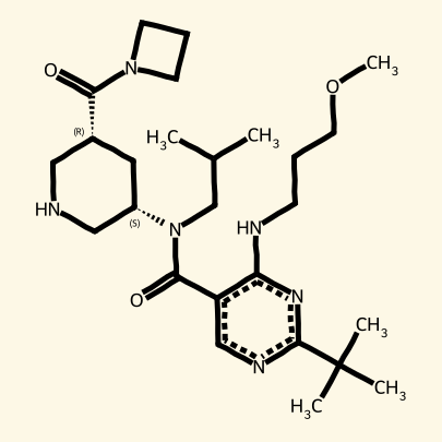 COCCCNc1nc(C(C)(C)C)ncc1C(=O)N(CC(C)C)[C@@H]1CNC[C@H](C(=O)N2CCC2)C1